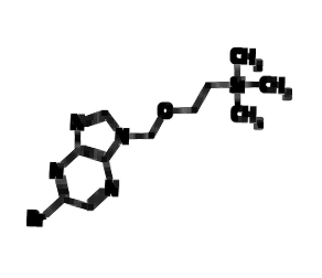 C[Si](C)(C)CCOCn1cnc2nc(Br)cnc21